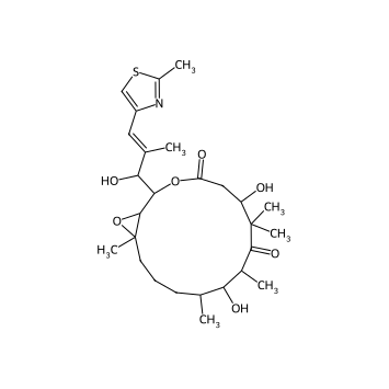 C/C(=C\c1csc(C)n1)C(O)C1OC(=O)CC(O)C(C)(C)C(=O)C(C)C(O)C(C)CCCC2(C)OC12